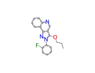 CCCOc1c2cnc3ccccc3c2nn1-c1ccccc1F